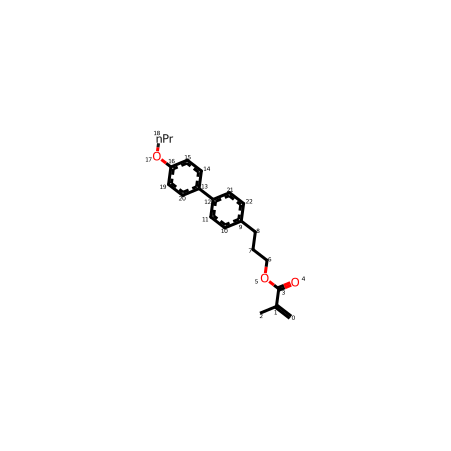 C=C(C)C(=O)OCCCc1ccc(-c2ccc(OCCC)cc2)cc1